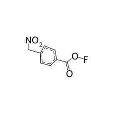 O=C(OF)c1ccc(C[N+](=O)[O-])cc1